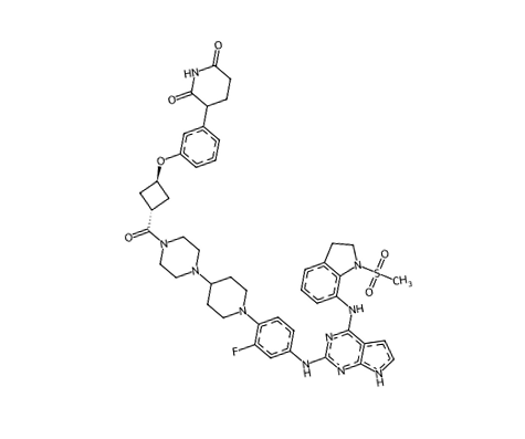 CS(=O)(=O)N1CCc2cccc(Nc3nc(Nc4ccc(N5CCC(N6CCN(C(=O)[C@H]7C[C@H](Oc8cccc(C9CCC(=O)NC9=O)c8)C7)CC6)CC5)c(F)c4)nc4[nH]ccc34)c21